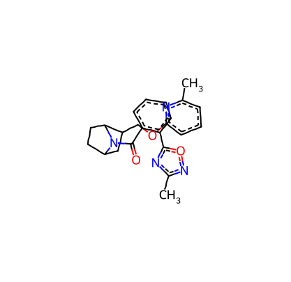 Cc1cccc(OCC2CC3CCC2N3C(=O)c2ccccc2-c2nc(C)no2)n1